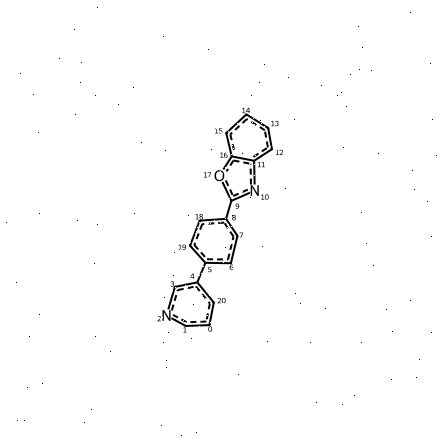 c1cncc(-c2ccc(-c3nc4ccccc4o3)cc2)c1